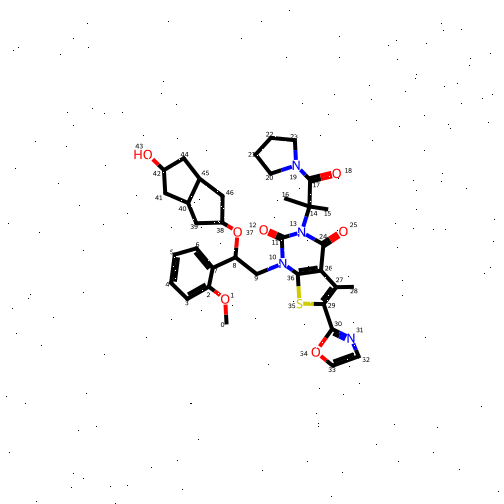 COc1ccccc1C(Cn1c(=O)n(C(C)(C)C(=O)N2CCCC2)c(=O)c2c(C)c(-c3ncco3)sc21)OC1CC2CC(O)CC2C1